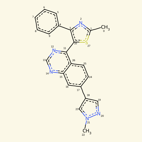 Cc1nc(-c2ccccc2)c(-c2ncnc3cc(-c4cnn(C)c4)ccc23)s1